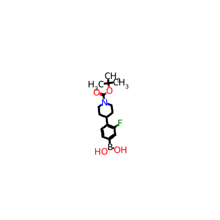 CC(C)(C)OC(=O)N1CCC(c2ccc(B(O)O)cc2F)CC1